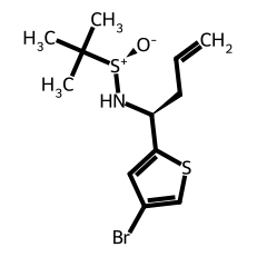 C=CC[C@H](N[S@+]([O-])C(C)(C)C)c1cc(Br)cs1